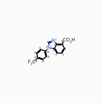 O=C(O)c1cccc2c1ncn2-c1ccc(C(F)(F)F)cc1